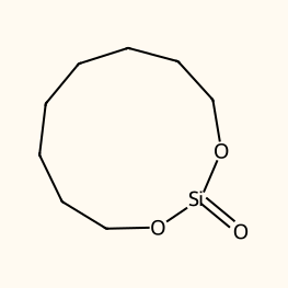 O=[Si]1OCCCCCCCCO1